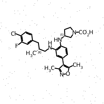 Cc1noc(C)c1-c1ccc(N[C@H]2CCN(C(=O)O)C2)c(NC[C@H](C)Cc2ccc(Cl)c(F)c2)c1